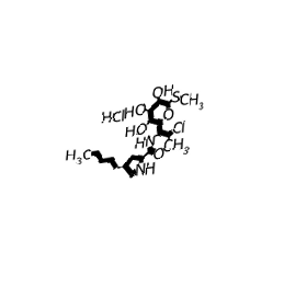 CCCCC[C@H]1CN[C@H](C(=O)N[C@H]([C@H]2O[C@H](SC)[C@H](O)[C@@H](O)[C@H]2O)[C@@H](C)Cl)C1.Cl